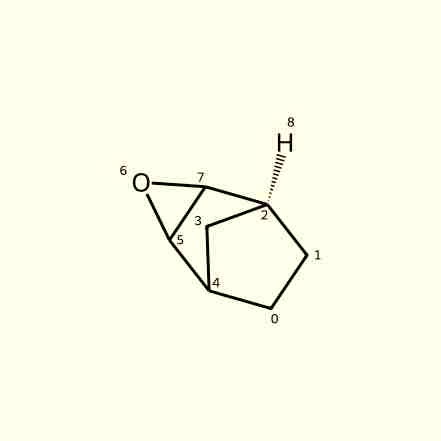 C1C[C@H]2CC1C1OC12